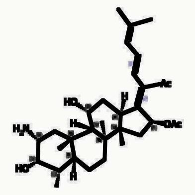 CC(=O)O[C@H]1C[C@@]2(C)[C@@H](C[C@@H](O)[C@H]3[C@@]4(C)C[C@@H](N)[C@@H](O)[C@@H](C)[C@@H]4CC[C@@]32C)/C1=C(\C=C\C=C(C)C)C(C)=O